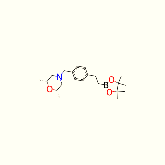 C[C@@H]1CN(Cc2ccc(CCB3OC(C)(C)C(C)(C)O3)cc2)C[C@H](C)O1